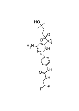 CC(C)(O)CCS(=O)(=O)C1(C2=CC(N)=N[C@@H](c3ccc(NC(=O)NCC(F)F)cc3)N2)CC1